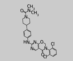 CN(C)C(=O)N1CCC(c2ccc(Nc3ncc4c(n3)OCN(c3c(Cl)cccc3Cl)C4=O)cc2)CC1